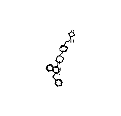 c1ccc(Cc2nnc(N3CCN(c4ccc(CNC5COC5)cn4)CC3)c3ccccc23)cc1